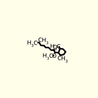 COC(C(=O)CCCCCC(C)C)C1C(C)CCCC1C